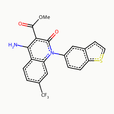 COC(=O)c1c(N)c2ccc(C(F)(F)F)cc2n(-c2ccc3sccc3c2)c1=O